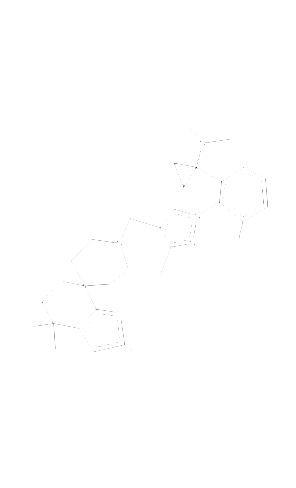 Cc1nn(-c2c(F)cccc2C2(N(C)C)CC2)cc1CN1CCC2(CC1)OCC(F)(F)c1cc(Cl)sc12